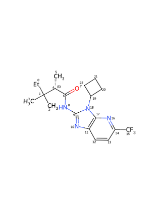 CCC(C)(C)[C@H](C)C(=O)Nc1nc2ccc(C(F)(F)F)nc2n1C1CCC1